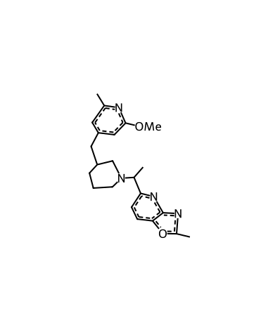 COc1cc(CC2CCCN(C(C)c3ccc4oc(C)nc4n3)C2)cc(C)n1